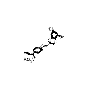 CC#CC(CC(=O)O)c1ccc(OC[C@H]2COc3c(Br)cc(Cl)cc3O2)cc1